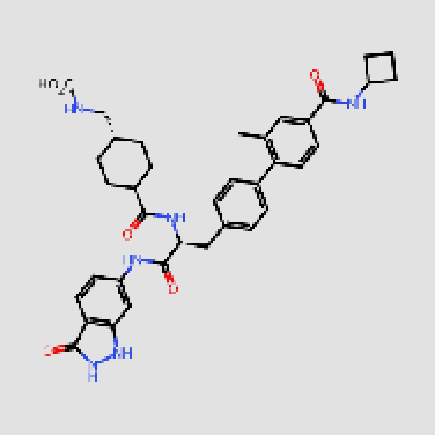 Cc1cc(C(=O)NC2CCC2)ccc1-c1ccc(C[C@H](NC(=O)[C@H]2CC[C@H](CNC(=O)O)CC2)C(=O)Nc2ccc3c(=O)[nH][nH]c3c2)cc1